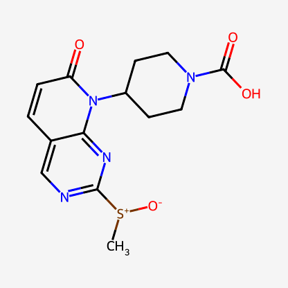 C[S+]([O-])c1ncc2ccc(=O)n(C3CCN(C(=O)O)CC3)c2n1